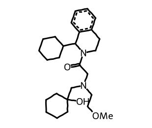 COCCN(CC(=O)N1CCc2ccccc2C1C1CCCCC1)CC1(O)CCCCC1